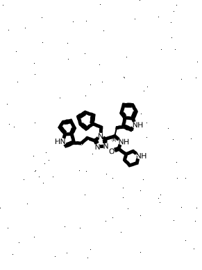 O=C(N[C@H](Cc1c[nH]c2ccccc12)c1nnc(CCc2c[nH]c3ccccc23)n1Cc1ccccc1)C1CCCNC1